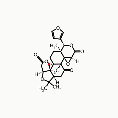 CC1(C)O[C@H]2CC(=O)OC[C@]23[C@H]2CC[C@@]4(C)[C@@H](c5ccoc5)OC(=O)[C@H]5O[C@]54[C@]2(C)C(=O)C[C@@H]13